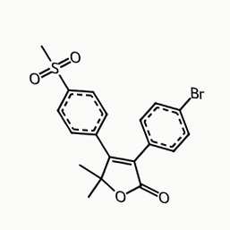 CC1(C)OC(=O)C(c2ccc(Br)cc2)=C1c1ccc(S(C)(=O)=O)cc1